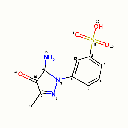 CC1=NN(c2cccc(S(=O)(=O)O)c2)C(N)C1=O